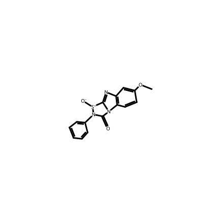 COc1ccc2c(c1)nc1n2c(=O)n(-c2ccccc2)[s+]1[O-]